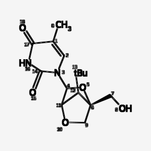 Cc1cn(C2O[C@]3(CO)COC2C3C(C)(C)C)c(=O)[nH]c1=O